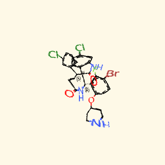 O=C1C[C@@H](c2cccc(Cl)c2)[C@]2(C(=O)Nc3cc(Cl)ccc32)[C@H](c2c(OC3CCNCC3)ccc(Br)c2F)N1